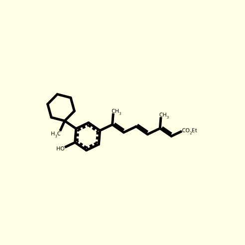 CCOC(=O)/C=C(C)/C=C/C=C(\C)c1ccc(O)c(C2(C)CCCCC2)c1